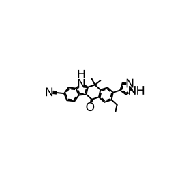 CCc1cc2c(cc1-c1cn[nH]c1)C(C)(C)c1[nH]c3cc(C#N)ccc3c1C2=O